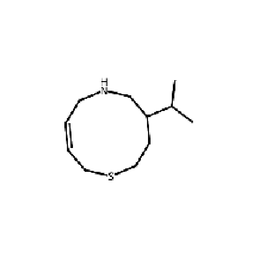 CC(C)C1CCSC/C=C\CNC1